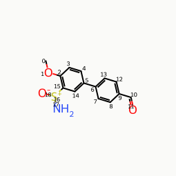 COc1ccc(-c2ccc(C=O)cc2)cc1[S+](N)[O-]